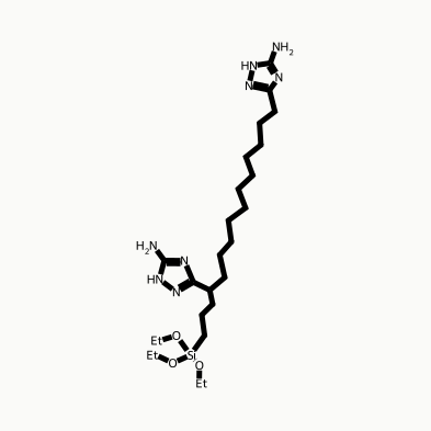 CCO[Si](CCCC(CCCCCCCCCCCc1n[nH]c(N)n1)c1n[nH]c(N)n1)(OCC)OCC